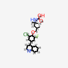 CC(COc1c(F)cc(-c2ccnc3ccccc23)cc1Cl)CC(C)(C)NC(=O)O